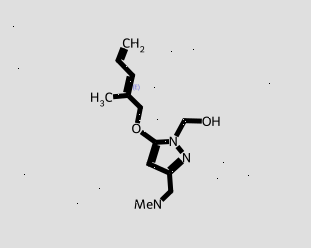 C=C/C=C(\C)COc1cc(CNC)nn1CO